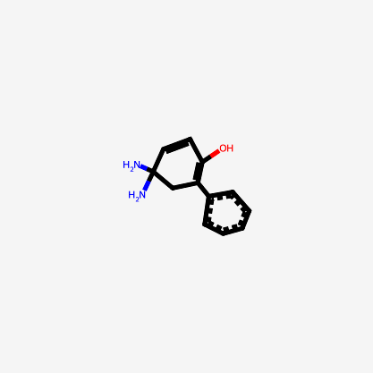 NC1(N)C=CC(O)=C(c2ccccc2)C1